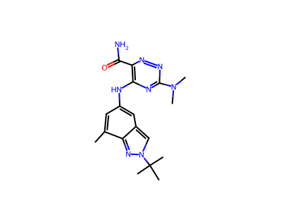 Cc1cc(Nc2nc(N(C)C)nnc2C(N)=O)cc2cn(C(C)(C)C)nc12